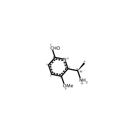 COc1ccc(C=O)nc1[C@@H](C)N